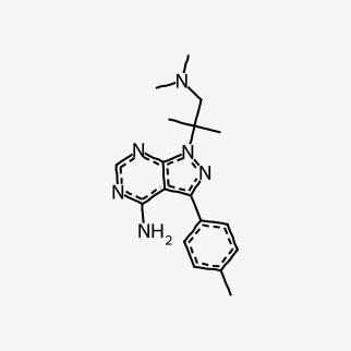 Cc1ccc(-c2nn(C(C)(C)CN(C)C)c3ncnc(N)c23)cc1